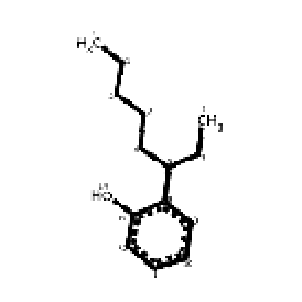 CCCCCC(CC)c1ccccc1O